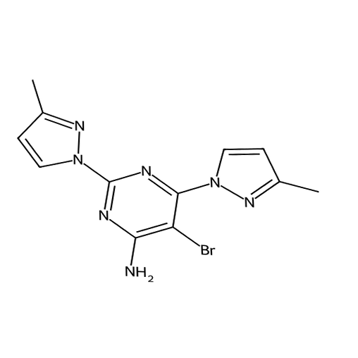 Cc1ccn(-c2nc(N)c(Br)c(-n3ccc(C)n3)n2)n1